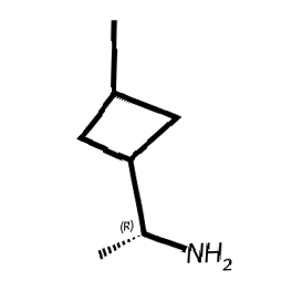 CC1CC([C@@H](C)N)C1